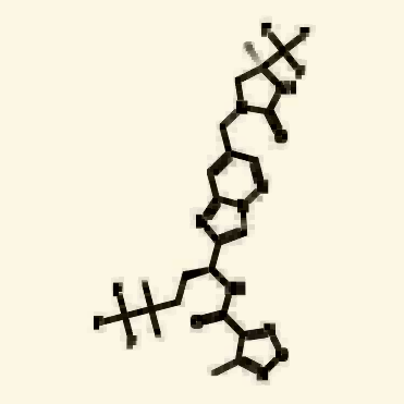 Cc1nonc1C(=O)N[C@@H](CCC(C)(C)C(F)(F)F)c1cn2ncc(CN3C[C@@](C)(C(F)(F)F)NC3=O)cc2n1